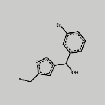 CCc1cc(C(O)c2cccc(Br)c2)cs1